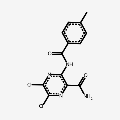 Cc1ccc(C(=O)Nc2nc(Cl)c(Cl)nc2C(N)=O)cc1